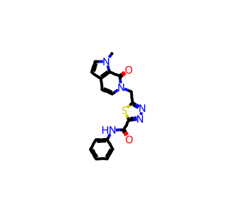 Cn1ccc2ccn(Cc3nnc(C(=O)Nc4ccccc4)s3)c(=O)c21